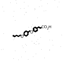 C=CCCCOC1CCC(COc2ccc(/C=C/C(=O)O)cc2)CC1